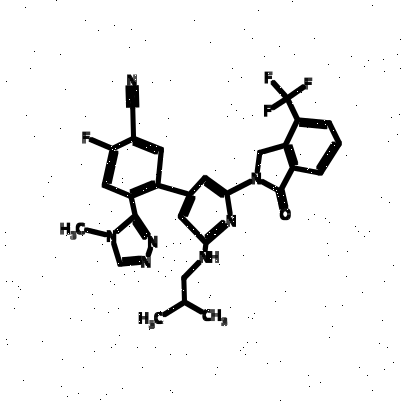 CC(C)CNc1cc(-c2cc(C#N)c(F)cc2-c2nncn2C)cc(N2Cc3c(cccc3C(F)(F)F)C2=O)n1